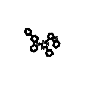 c1ccc(-c2ccc3c(c2)c2ccccc2n3-c2nc(-c3ccccc3)nc(-c3cccc4sc5ccccc5c34)n2)cc1